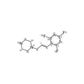 Fc1cc(F)c(C=CCN2CC[N]CC2)c(F)c1